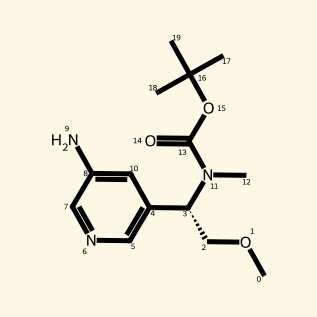 COC[C@H](c1cncc(N)c1)N(C)C(=O)OC(C)(C)C